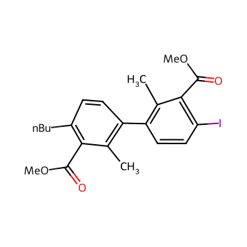 CCCCc1ccc(-c2ccc(I)c(C(=O)OC)c2C)c(C)c1C(=O)OC